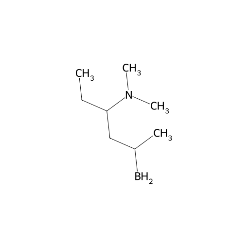 BC(C)CC(CC)N(C)C